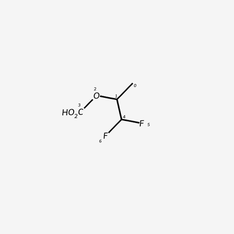 CC(OC(=O)O)C(F)F